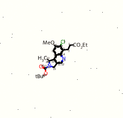 CCOC(=O)CCc1c(Cl)c(OC)cc2c3c(cnc12)CN(C(=O)OC(C)(C)C)[C@H]3C